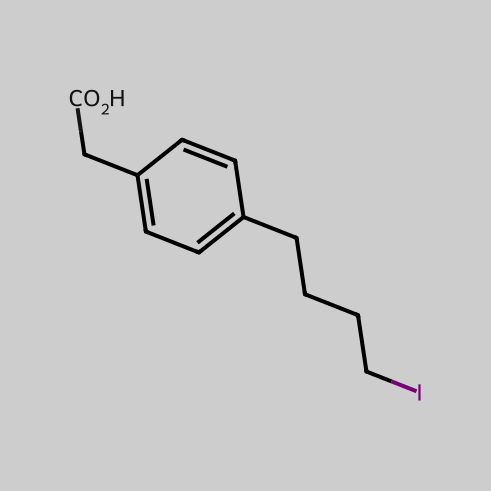 O=C(O)Cc1ccc(CCCCI)cc1